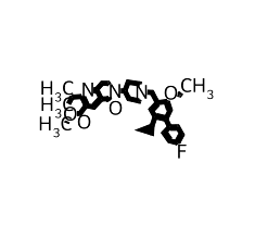 CCOc1cc(-c2ccc(F)cc2)c(C2CC2)cc1CN1CCC(N2CCc3nc(C(C)C)c(C(=O)OC)cc3C2=O)CC1